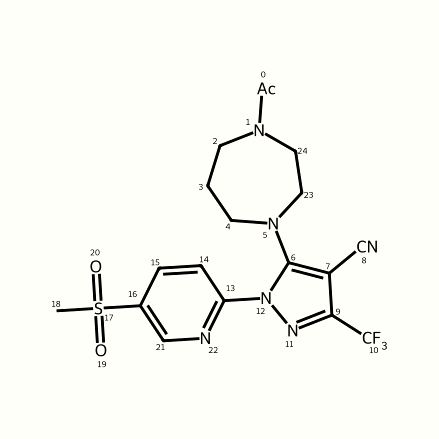 CC(=O)N1CCCN(c2c(C#N)c(C(F)(F)F)nn2-c2ccc(S(C)(=O)=O)cn2)CC1